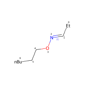 CC/[C]=N/OCCCCCC